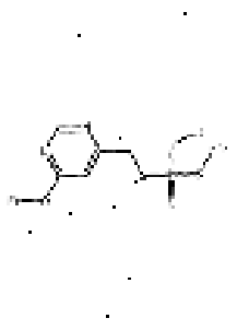 CCCSP(=O)(OCC)SCc1cc(OCC)ncn1